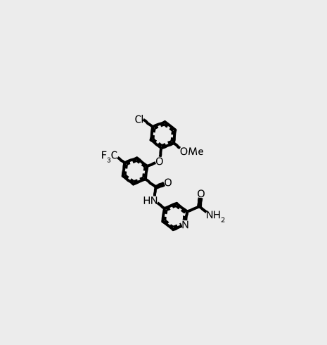 COc1ccc(Cl)cc1Oc1cc(C(F)(F)F)ccc1C(=O)Nc1ccnc(C(N)=O)c1